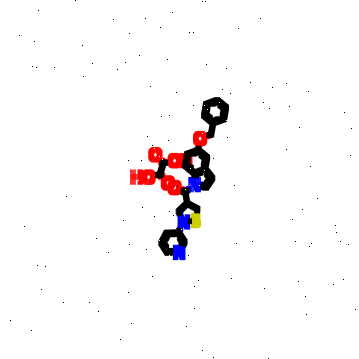 O=C(C1CSN(c2cccnc2)C1)n1ccc2cc(OCc3ccccc3)ccc21.O=C(O)C(=O)O